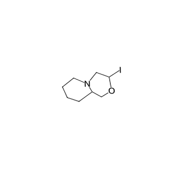 IC1CN2CCCCC2CO1